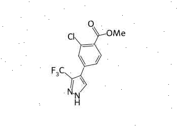 COC(=O)c1ccc(-c2c[nH]nc2C(F)(F)F)cc1Cl